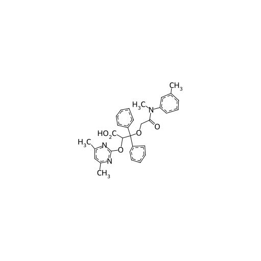 Cc1cccc(N(C)C(=O)COC(c2ccccc2)(c2ccccc2)C(Oc2nc(C)cc(C)n2)C(=O)O)c1